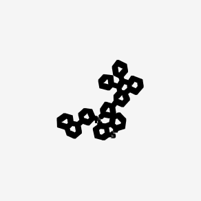 c1ccc(-c2c(-c3ccccc3)c3cc(-c4ccc(N(c5cccc(-c6cccc7ccccc67)c5)c5cccc6sc7ccccc7c56)cc4)ccc3c3ccccc23)cc1